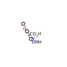 COc1ccc(/C=C(\C(=O)O)c2ccc(OCc3ccccc3)cc2)cn1